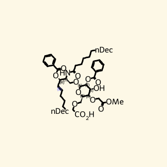 CCCCCCCCCCCCC/C=C/[C@@H](OC(=O)c1ccccc1)[C@H](CO[C@H]1O[C@H](COCC(=O)O)[C@H](OCC(=O)OC)[C@H](O)[C@H]1OC(=O)c1ccccc1)NC(=O)CCCCCCCCCCCCCCC